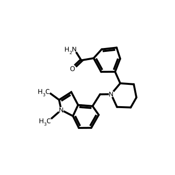 Cc1cc2c(CN3CCCCC3c3cccc(C(N)=O)c3)cccc2n1C